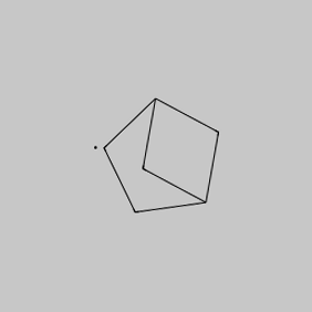 [CH]1CC2CC1C2